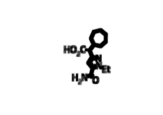 CCn1nc([C@@H](C(=O)O)C2CCCCCC2)cc1C(N)=O